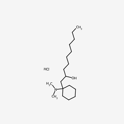 CCCCCCCCC(O)CC1(N(C)C)CCCCC1.Cl